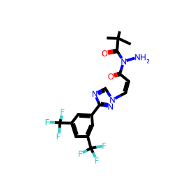 CC(C)(C)C(=O)N(N)C(=O)/C=C\n1cnc(-c2cc(C(F)(F)F)cc(C(F)(F)F)c2)n1